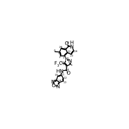 Cc1cc(-n2ncc(C(=O)Nc3ccc4nonc4c3)c2C(F)(F)F)c2cc[nH]c(=O)c2c1